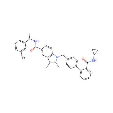 Cc1c(C)n(Cc2ccc(-c3ccccc3C(=O)NC3CC3)cc2)c2ccc(C(=O)NC(C)c3cccc(C(C)C)c3)cc12